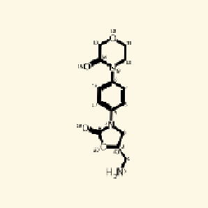 NC[C@@H]1CN(c2ccc(N3CCOCC3=O)cc2)C(=O)O1